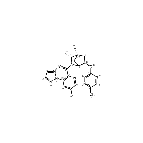 Cc1cnc(C(=O)N2C3C[C@H](C[C@H]3Oc3cnc(C(F)(F)F)cn3)[C@H]2C)c(-n2nccn2)c1